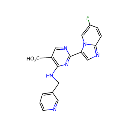 O=C(O)c1cnc(-c2cnc3ccc(F)cn23)nc1NCc1cccnc1